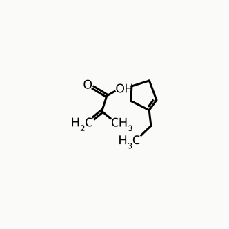 C=C(C)C(=O)O.CCC1=CCCC1